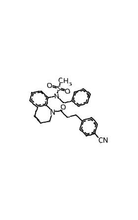 CS(=O)(=O)N(Cc1ccccc1)c1cccc2c1N(C(=O)CCc1ccc(C#N)cc1)CCC2